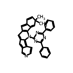 CC1(C)C=Cc2cc3cc4cc5cnccc5c4n(-c4nc(-c5ccccc5)nc(-c5ccccc5)n4)c3c2=C1